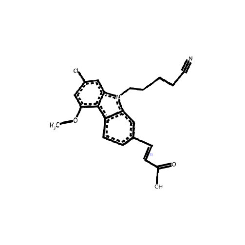 COc1cc(Cl)cc2c1c1ccc(/C=C/C(=O)O)cc1n2CCCCC#N